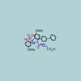 COc1cccc(C(NC(Cc2ccc(-c3ccccc3)cc2)C(=O)NCCC(=O)O)(c2cccc(OC)c2)P(=O)(O)O)c1